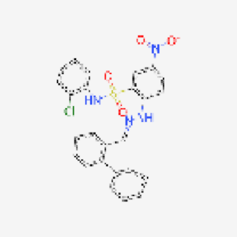 O=[N+]([O-])c1ccc(N/N=C/c2ccccc2-c2ccccc2)c(S(=O)(=O)Nc2ccccc2Cl)c1